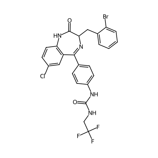 O=C(NCC(F)(F)F)Nc1ccc(C2=NC(Cc3ccccc3Br)C(=O)Nc3ccc(Cl)cc32)cc1